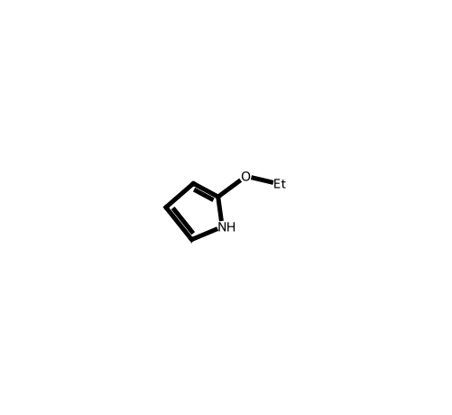 CCOc1cc[c][nH]1